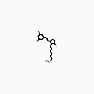 O=C(O)CCCCCCC1C(=O)CCC1C=Cc1cc(F)cc(F)c1